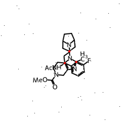 COC(=O)N1CCc2c(nc(C)n2C2CC3CCC(C2)N3CC[C@H](NC(C)=O)c2cccc(F)c2)C1